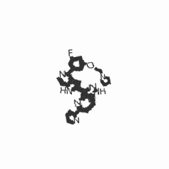 Fc1cc(OCCN2CCCC2)cc(-c2nccc3[nH]c(-c4n[nH]c5ccc(-c6ccccn6)nc45)cc23)c1